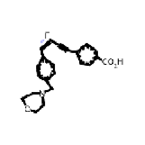 O=C(O)c1ccc(C#C/C(F)=C\c2ccc(CN3CCOCC3)cc2)cc1